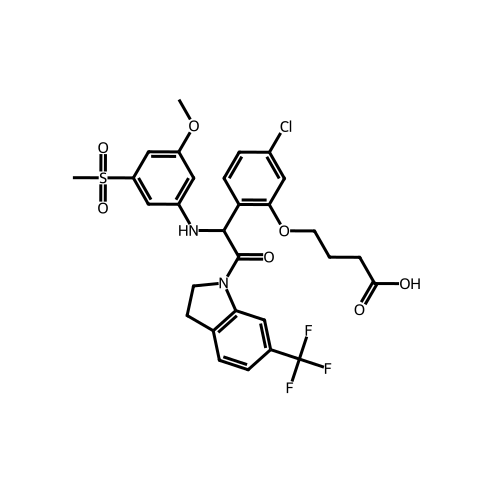 COc1cc(NC(C(=O)N2CCc3ccc(C(F)(F)F)cc32)c2ccc(Cl)cc2OCCCC(=O)O)cc(S(C)(=O)=O)c1